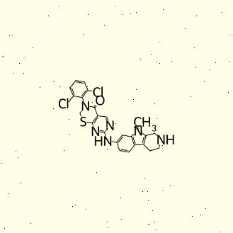 Cn1c2c(c3ccc(Nc4ncc5c(n4)SCN(c4c(Cl)cccc4Cl)C5=O)cc31)CCNC2